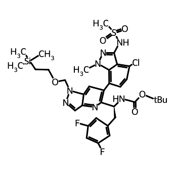 Cn1nc(NS(C)(=O)=O)c2c(Cl)ccc(-c3cc4c(cnn4COCC[Si](C)(C)C)nc3[C@H](Cc3cc(F)cc(F)c3)NC(=O)OC(C)(C)C)c21